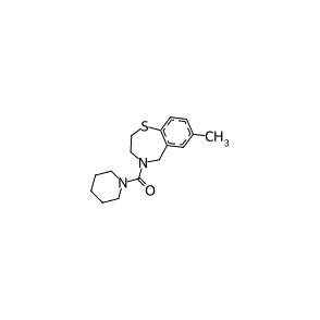 Cc1ccc2c(c1)CN(C(=O)N1CCCCC1)CCS2